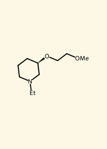 [CH2]CN1CCC[C@@H](OCCOC)C1